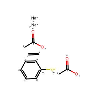 C=C.CC(=O)[O-].CC(=O)[O-].Sc1ccccc1.[Na+].[Na+]